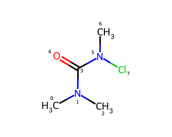 CN(C)C(=O)N(C)Cl